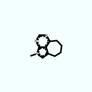 Cn1cc2c3c(ncnc31)CCCC2